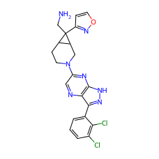 NCC1(c2ccon2)C2CCN(c3cnc4c(-c5cccc(Cl)c5Cl)n[nH]c4n3)CC21